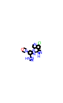 Clc1cccc2c(-n3c(-c4ccn[nH]4)nc4c(-c5nnc[nH]5)cc(N5CCOCC5)cc43)ccnc12